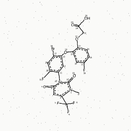 Cn1c(C(F)(F)F)cc(=O)n(-c2cc(Oc3cc(F)ccc3OCC(=O)O)c(Br)cc2F)c1=O